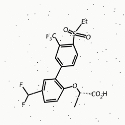 CCS(=O)(=O)c1ccc(-c2cc(C(F)F)ccc2O[C@@H](C)C(=O)O)cc1C(F)(F)F